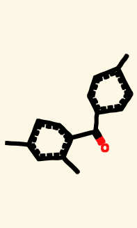 Cc1ccc(C(=O)c2ccc(C)cc2C)cc1